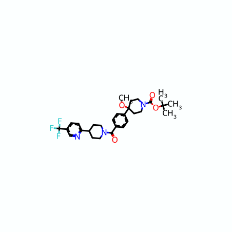 COC1(c2ccc(C(=O)N3CCC(c4ccc(C(F)(F)F)cn4)CC3)cc2)CCN(C(=O)OC(C)(C)C)CC1